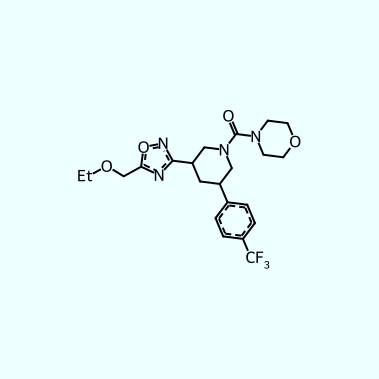 CCOCc1nc(C2CC(c3ccc(C(F)(F)F)cc3)CN(C(=O)N3CCOCC3)C2)no1